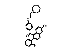 O=C(c1ccc(OCCN2CCCCCC2)cc1)c1c(-c2ccccc2F)ccc2cc(O)ccc12